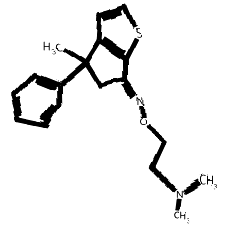 CN(C)CCON=C1CC(C)(c2ccccc2)c2ccsc21